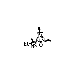 C#CC(C)(C)N1CN(CC=C)C(=O)N(c2snc(CC)c2C)C1